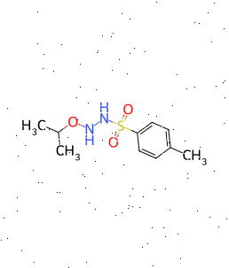 Cc1ccc(S(=O)(=O)NNOC(C)C)cc1